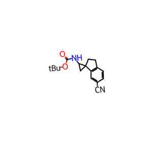 CC(C)(C)OC(=O)NC1CC12CCc1ccc(C#N)cc12